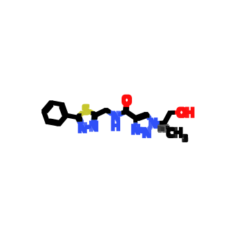 C[C@@H](CO)n1cc(C(=O)NCc2nnc(-c3ccccc3)s2)nn1